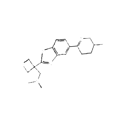 CC1CCC(c2ccc3sc(C4(CN(C)C)COC4)nc3c2)=NC1